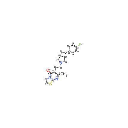 Cc1nc2sccn2c(=O)c1CCN1CC2CC(c3ccc(F)cc3)C2C1